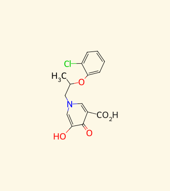 CC(Cn1cc(O)c(=O)c(C(=O)O)c1)Oc1ccccc1Cl